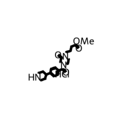 COC(=O)CCCN1CCN(C(=O)c2ccc(C3CCNCC3)cc2)CC1=O.Cl